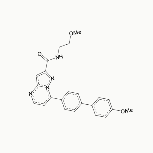 COCCNC(=O)c1cc2nccc(-c3ccc(-c4ccc(OC)cc4)cc3)n2n1